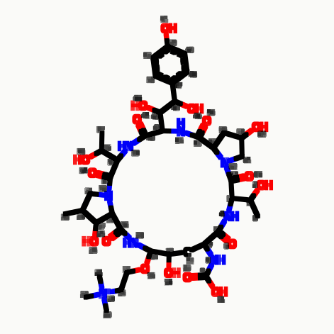 CC(O)C1NC(=O)C(NC(=O)O)CC(O)C(OCC[N+](C)(C)C)NC(=O)C2C(O)C(C)CN2C(=O)C(C(C)O)NC(=O)C(C(O)C(O)c2ccc(O)cc2)NC(=O)C2CC(O)CN2C1=O